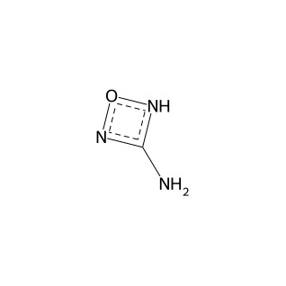 Nc1no[nH]1